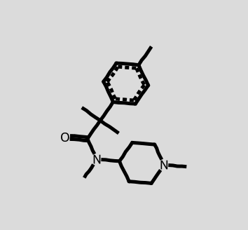 Cc1ccc(C(C)(C)C(=O)N(C)C2CCN(C)CC2)cc1